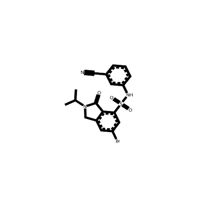 CC(C)N1Cc2cc(Br)cc(S(=O)(=O)Nc3cccc(C#N)c3)c2C1=O